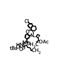 C=CCCCS(=O)(=NC(=O)c1ccc2c(c1)N(C[C@@H]1CC[C@H]1[C@H](C=C)OC(C)=O)C[C@@]1(CCCc3cc(Cl)ccc31)CO2)NC(=O)OC(C)(C)C